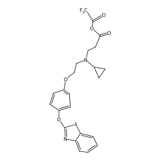 O=C(CCN(CCOc1ccc(Oc2nc3ccccc3s2)cc1)C1CC1)OC(=O)C(F)(F)F